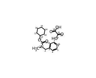 CN(Cc1ccncc1)C(=O)OC1CCCCC1.O=C(O)C(=O)O